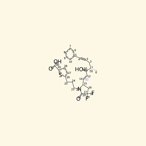 C[C@@H](CC#Cc1ccccc1)[C@H](O)/C=C/C1CC(F)(F)C(=O)N1CCCc1ccc(C(=O)O)s1